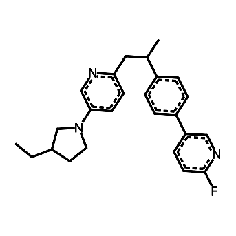 CCC1CCN(c2ccc(CC(C)c3ccc(-c4ccc(F)nc4)cc3)nc2)C1